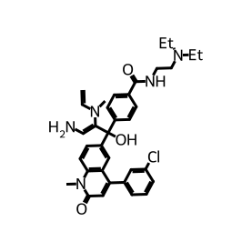 C=CN(C)/C(=C\N)C(O)(c1ccc(C(=O)NCCN(CC)CC)cc1)c1ccc2c(c1)c(-c1cccc(Cl)c1)cc(=O)n2C